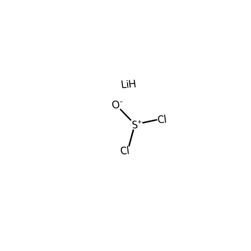 [LiH].[O-][S+](Cl)Cl